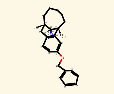 C[C@@]12CCCCC[C@@H](Cc3ccc(OCc4ccccc4)cc31)[C@@H]2N